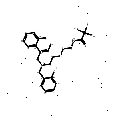 C/C=C(/CN(CCOCCNC(=O)C(F)(F)F)Cc1cccnc1F)c1ccccc1C